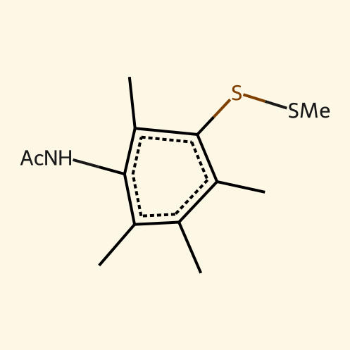 CSSc1c(C)c(C)c(C)c(NC(C)=O)c1C